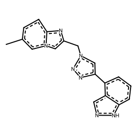 Cc1ccc2nc(Cn3cc(-c4cccc5[nH]ncc45)nn3)cn2c1